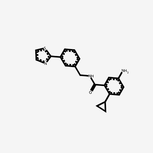 Nc1ccc(C2CC2)c(C(=O)NCc2cccc(-c3nccs3)c2)c1